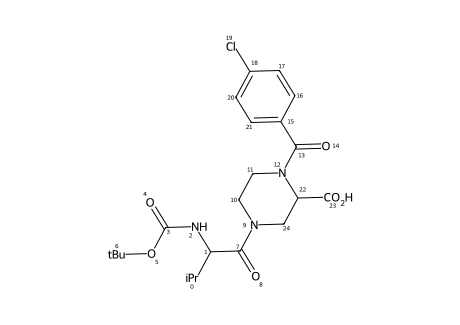 CC(C)C(NC(=O)OC(C)(C)C)C(=O)N1CCN(C(=O)c2ccc(Cl)cc2)C(C(=O)O)C1